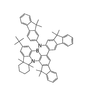 CC(C)(C)c1cc2c3c(c1)C1(C)CCCCC1(C)N3c1c3c(cc4c1C(C)(C)c1ccccc1-4)-c1cc4c(cc1N(c1ccc5c(c1)C(C)(C)c1ccccc1-5)B23)C(C)(C)c1ccccc1-4